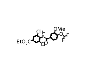 CCOC(=O)c1cc(Cl)c(NC(=O)c2ccc(OC(F)F)c(OC)c2)c(Cl)c1